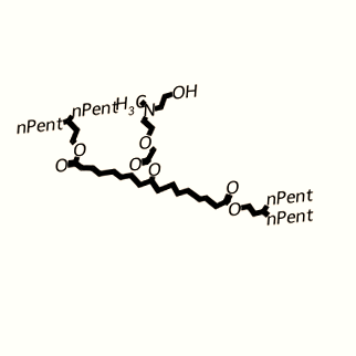 CCCCCC(CCCCC)CCOC(=O)CCCCCCCC(CCCCCCCC(=O)OCCC(CCCCC)CCCCC)OC(=O)COCCN(C)CCO